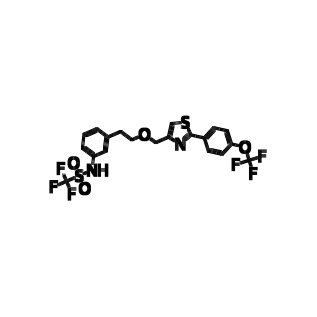 O=S(=O)(Nc1cccc(CCOCc2csc(-c3ccc(OC(F)(F)F)cc3)n2)c1)C(F)(F)F